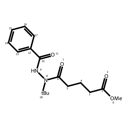 COC(=O)CCCC(=O)N(NC(=O)c1ccccc1)C(C)(C)C